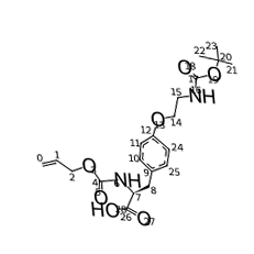 C=CCOC(=O)N[C@@H](Cc1ccc(OCCNC(=O)OC(C)(C)C)cc1)C(=O)O